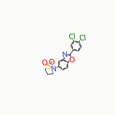 O=S1(=O)CCCN1c1ccc2oc(-c3ccc(Cl)c(Cl)c3)nc2c1